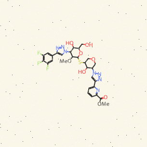 COC(=O)c1cccc(-c2cn(C3COCC(SC4OC(CO)C(O)C(n5cc(-c6cc(F)c(F)c(F)c6)nn5)C4OC)C3O)nn2)n1